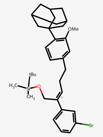 COc1cc(CC/C=C(\CO[Si](C)(C)C(C)(C)C)c2cccc(Br)c2)ccc1C12CC3CC(CC(C3)C1)C2